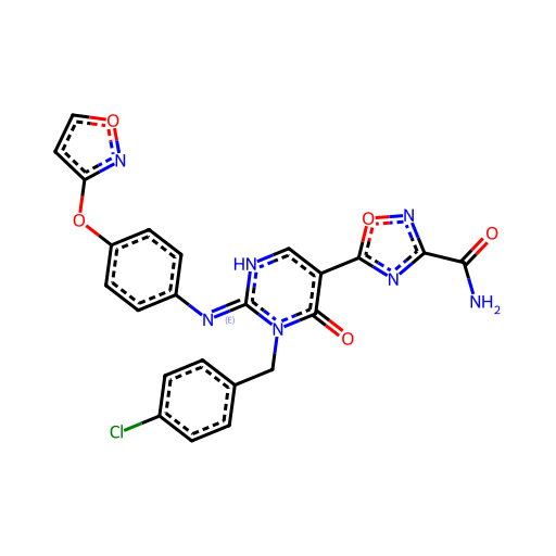 NC(=O)c1noc(-c2c[nH]/c(=N\c3ccc(Oc4ccon4)cc3)n(Cc3ccc(Cl)cc3)c2=O)n1